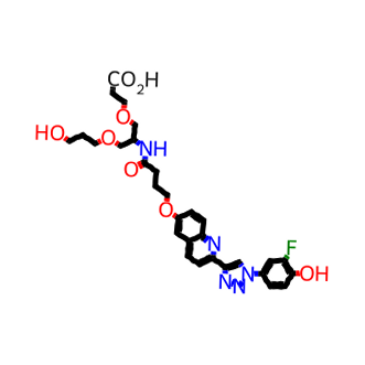 O=C(O)CCOCC(COCCCO)NC(=O)CCCOc1ccc2nc(-c3cn(-c4ccc(O)c(F)c4)nn3)ccc2c1